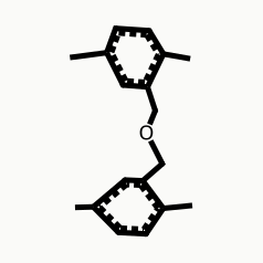 Cc1ccc(C)c(COCc2cc(C)ccc2C)c1